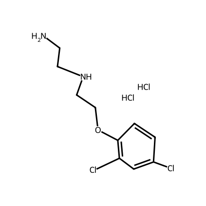 Cl.Cl.NCCNCCOc1ccc(Cl)cc1Cl